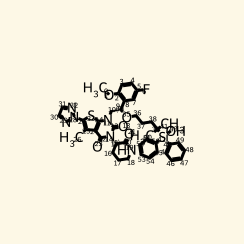 COc1ccc(F)cc1[C@H](Cn1c(=O)n([C@H]2CCCNC2=O)c(=O)c2c(C)c(-n3nccn3)sc21)OCCCC(C)(C)[Si](O)(c1ccccc1)c1ccccc1